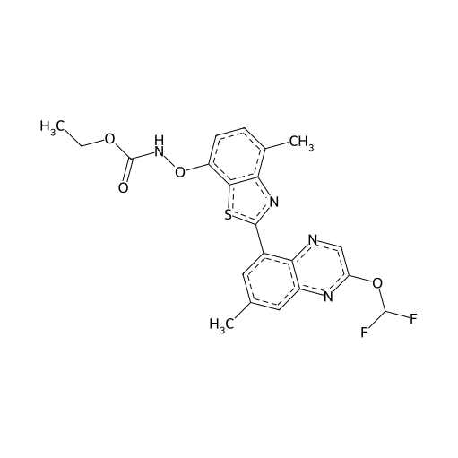 CCOC(=O)NOc1ccc(C)c2nc(-c3cc(C)cc4nc(OC(F)F)cnc34)sc12